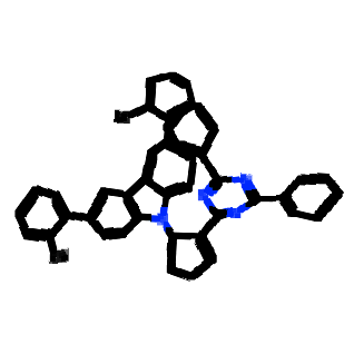 N#Cc1ccccc1-c1ccc2c(c1)c1cc(-c3ccccc3C#N)ccc1n2C1=CCC=C1c1nc(-c2ccccc2)nc(-c2ccccc2)n1